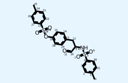 Cc1ccc(S(=O)(=O)NC(C=O)Cc2ccc(OS(=O)(=O)c3ccc(C)cc3)cc2)cc1